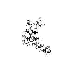 CCOC(=O)[C@H](CCc1ccccc1)N[C@H]1CCCN2CCCC(C(=O)O[C@@H](C)OC(=O)CN3CCOCC3)N2C1=O